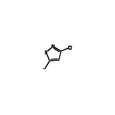 [CH2]c1cc(Cl)ns1